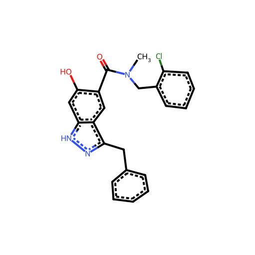 CN(Cc1ccccc1Cl)C(=O)c1cc2c(Cc3ccccc3)n[nH]c2cc1O